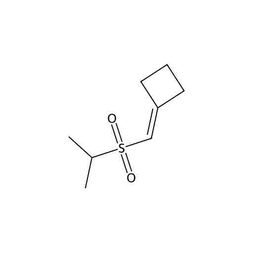 CC(C)S(=O)(=O)C=C1CCC1